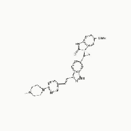 COc1ccc2c(c1)[C@]1(CC1c1ccc3c(/C=C/c4ccc(N5CCN(C)CC5)nc4)n[nH]c3c1)C(=O)N2